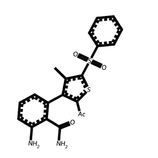 CC(=O)c1sc(S(=O)(=O)c2ccccc2)c(C)c1-c1cccc(N)c1C(N)=O